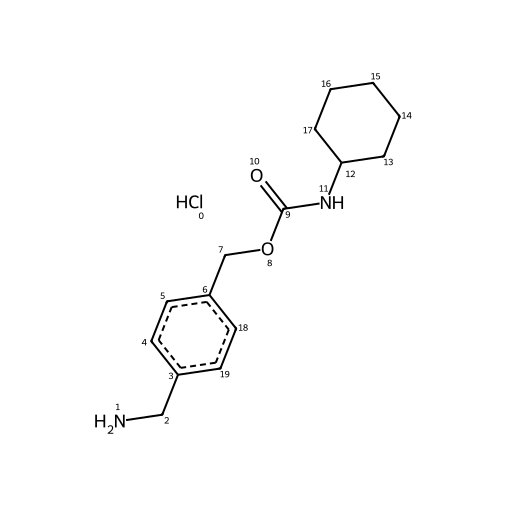 Cl.NCc1ccc(COC(=O)NC2CCCCC2)cc1